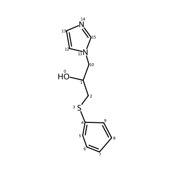 OC(CSc1ccccc1)Cn1ccnc1